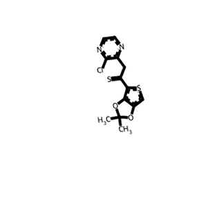 CC1(C)Oc2csc(C(=S)Cc3nccnc3Cl)c2O1